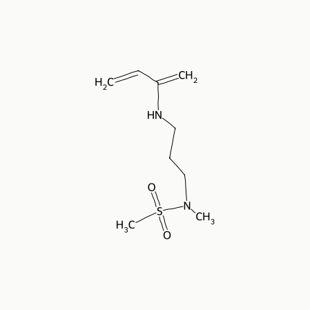 C=CC(=C)NCCCN(C)S(C)(=O)=O